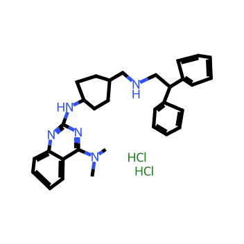 CN(C)c1nc(NC2CCC(CNCC(c3ccccc3)c3ccccc3)CC2)nc2ccccc12.Cl.Cl